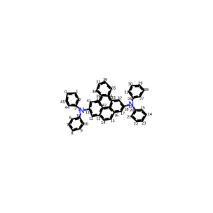 c1ccc(N(c2ccccc2)c2cc3ccc4cc(N(c5ccccc5)c5ccccc5)cc5c6ccccc6c(c2)c3c45)cc1